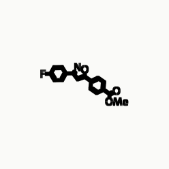 COC(=O)c1ccc(-c2cc(-c3ccc(F)cc3)no2)cc1